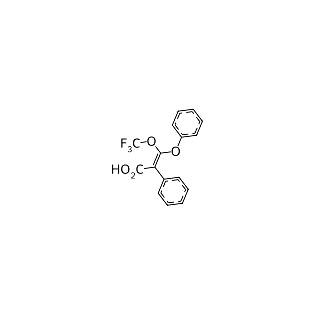 O=C(O)C(=C(Oc1ccccc1)OC(F)(F)F)c1ccccc1